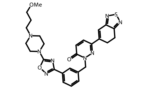 COCCCN1CCN(c2nc(-c3cccc(Cn4nc(C5=Cc6nsnc6CC5)ccc4=O)c3)no2)CC1